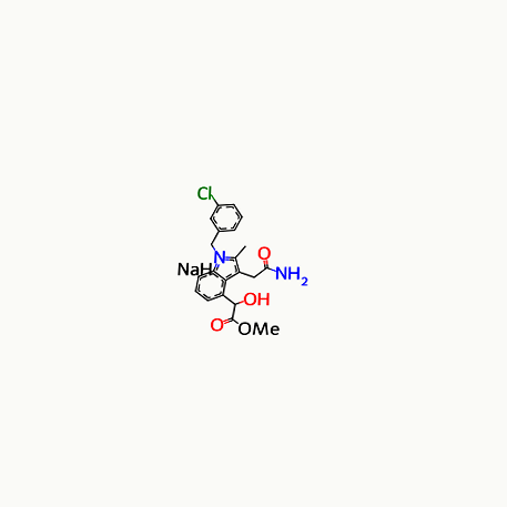 COC(=O)C(O)c1cccc2c1c(CC(N)=O)c(C)n2Cc1cccc(Cl)c1.[NaH]